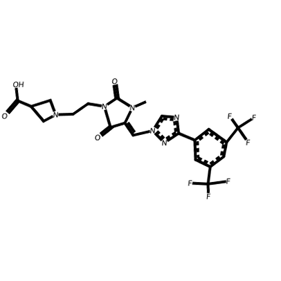 CN1C(=O)N(CCN2CC(C(=O)O)C2)C(=O)C1=Cn1cnc(-c2cc(C(F)(F)F)cc(C(F)(F)F)c2)n1